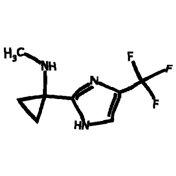 CNC1(c2nc(C(F)(F)F)c[nH]2)CC1